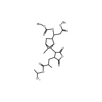 CC(CC1C(=O)OC(=O)C1C1C(C)C2CC(C(CC(=O)OC(C)(C)C)OC(=O)OC(C)(C)C)C1C2)C(=O)OC(C)C(F)(F)F